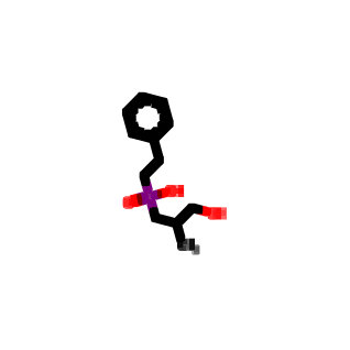 CC(CO)CP(=O)(O)CCc1ccccc1